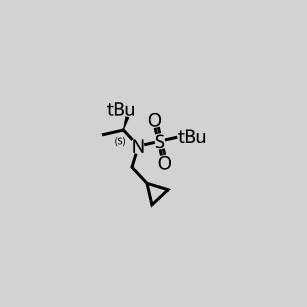 C[C@H](N(CC1CC1)S(=O)(=O)C(C)(C)C)C(C)(C)C